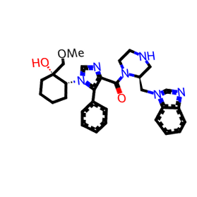 COC[C@]1(O)CCCC[C@H]1n1cnc(C(=O)N2CCNC[C@H]2Cn2cnc3ccccc32)c1-c1ccccc1